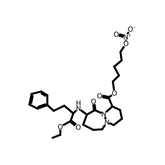 CCOC(=O)C(CCc1ccccc1)NC1CCCN2CCCC(C(=O)OCCCCCO[N+](=O)[O-])N2C1=O